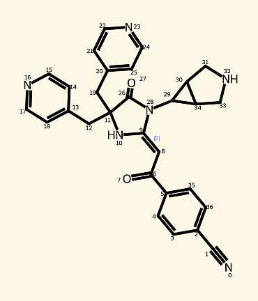 N#Cc1ccc(C(=O)/C=C2\NC(Cc3ccncc3)(Cc3ccncc3)C(=O)N2C2C3CNCC32)cc1